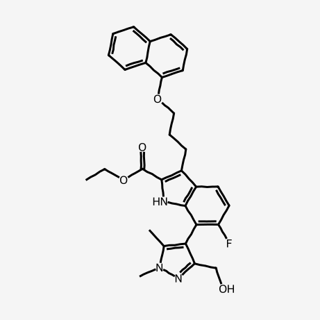 CCOC(=O)c1[nH]c2c(-c3c(CO)nn(C)c3C)c(F)ccc2c1CCCOc1cccc2ccccc12